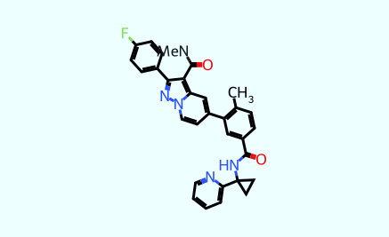 CNC(=O)c1c(-c2ccc(F)cc2)nn2ccc(-c3cc(C(=O)NC4(c5ccccn5)CC4)ccc3C)cc12